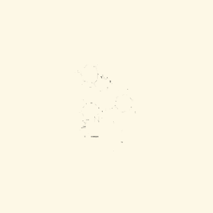 O=C1CCCCCC1n1nc(-c2c(-c3ccccc3)nn3ccccc23)ccc1=O